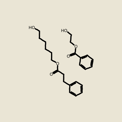 O=C(CCc1ccccc1)OCCCCCCO.O=C(OCCO)c1ccccc1